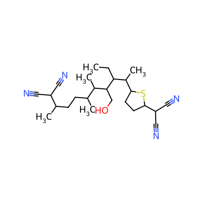 CCC(C(C)C1CCC(C(C#N)C#N)S1)C(CO)C(C)C(C)CCC(C)C(C#N)C#N